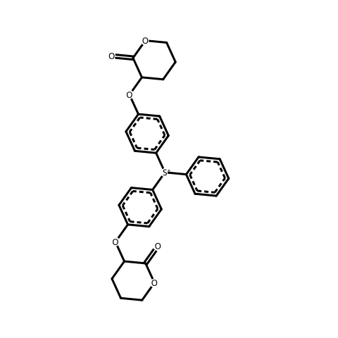 O=C1OCCCC1Oc1ccc([S+](c2ccccc2)c2ccc(OC3CCCOC3=O)cc2)cc1